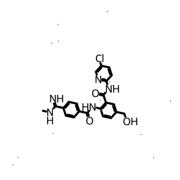 CNC(=N)c1ccc(C(=O)Nc2ccc(CO)cc2C(=O)Nc2ccc(Cl)cn2)cc1